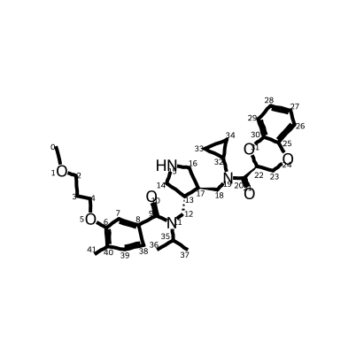 COCCCOc1cc(C(=O)N(C[C@@H]2CNC[C@H]2CN(C(=O)[C@@H]2COc3ccccc3O2)C2CC2)C(C)C)ccc1C